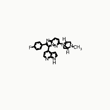 CN1C[C@@H]2C[C@H]1CN2c1ccc2nc(-c3ccc(F)cc3)c(-c3ccnc4[nH]ccc34)n2n1